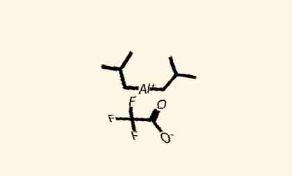 CC(C)[CH2][Al+][CH2]C(C)C.O=C([O-])C(F)(F)F